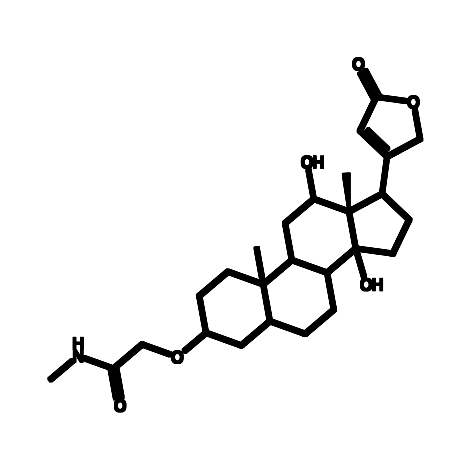 CNC(=O)COC1CCC2(C)C(CCC3C2CC(O)[C@]2(C)C(C4=CC(=O)OC4)CCC32O)C1